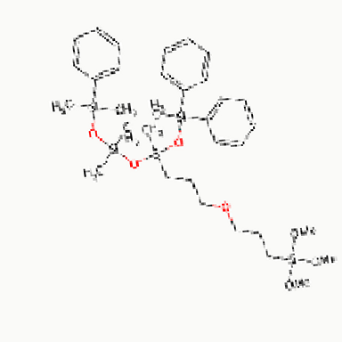 CO[Si](CCCOCCC[Si](C)(O[Si](C)(C)O[Si](C)(C)c1ccccc1)O[Si](C)(c1ccccc1)c1ccccc1)(OC)OC